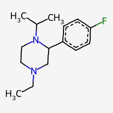 CCN1CCN(C(C)C)C(c2ccc(F)cc2)C1